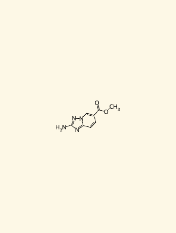 COC(=O)c1ccc2nc(N)nn2c1